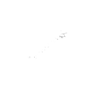 COC(=O)CCCCCCCCCCCCCCCn1nc(C)c(Br)c1C